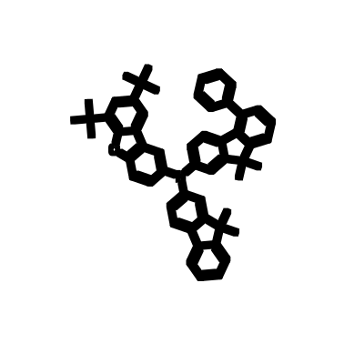 CC(C)(C)c1cc(C(C)(C)C)c2oc3ccc(N(c4ccc5c(c4)C(C)(C)c4ccccc4-5)c4ccc5c(c4)C(C)(C)c4cccc(-c6ccccc6)c4-5)cc3c2c1